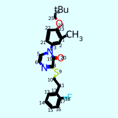 Cc1cc(-n2ccnc(SCCc3ccccc3F)c2=O)ccc1OCC(C)(C)C